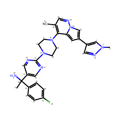 Cn1cc(-c2cc3c(N4CCN(c5ncc(C(C)(N)c6ccc(F)cc6)cn5)CC4)c(C#N)cnn3c2)cn1